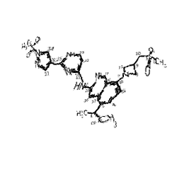 CC(C)c1ccc(N2CC(CS(C)(=O)=O)C2)c2cnc(Nc3ccnc(-c4cnn(S(C)(=O)=O)c4)n3)cc12